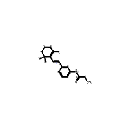 CC1=C(/C=C/c2cccc(NC(=O)CN)c2)C(C)(C)CCC1